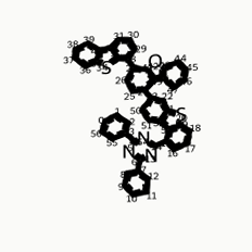 c1ccc(-c2nc(-c3ccccc3)nc(-c3cccc4sc5cc(-c6ccc(-c7cccc8c7sc7ccccc78)c7oc8ccccc8c67)ccc5c34)n2)cc1